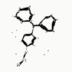 [Br][Mg][Br].c1ccc(C(c2ccccc2)c2ccccc2)cc1